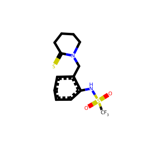 O=S(=O)(Nc1ccccc1CN1CCCCC1=S)C(F)(F)F